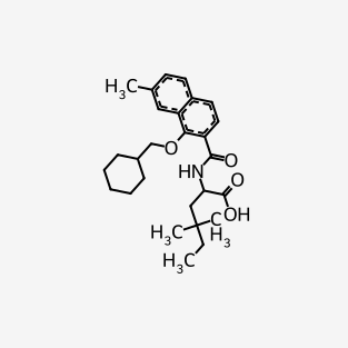 CCC(C)(C)CC(NC(=O)c1ccc2ccc(C)cc2c1OCC1CCCCC1)C(=O)O